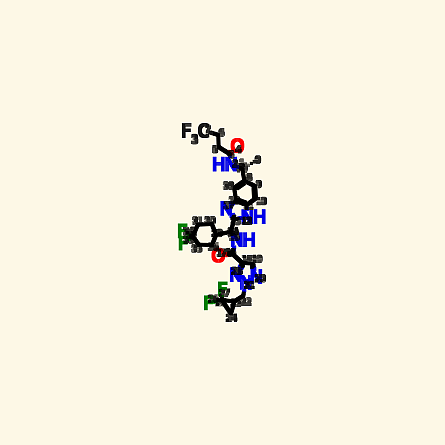 C[C@@H](NC(=O)CCC(F)(F)F)c1ccc2[nH]c([C@@H](NC(=O)c3cnn(CC4CC4(F)F)n3)C3CCC(F)(F)CC3)nc2c1